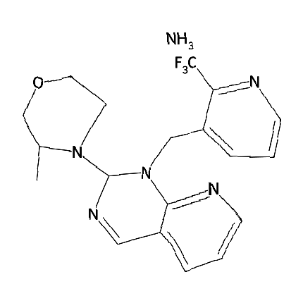 CC1COCCN1C1N=Cc2cccnc2N1Cc1cccnc1C(F)(F)F.N